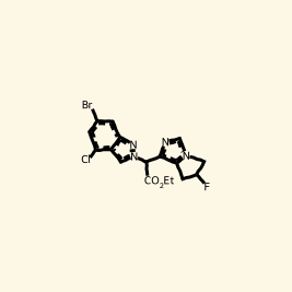 CCOC(=O)C(c1ncn2c1CC(F)C2)n1cc2c(Cl)cc(Br)cc2n1